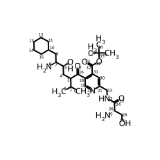 CC(C)C(C[C@H](O)[C@@H](N)CC1CCCCC1)C(=O)c1cnc(CNC(=O)[C@@H](N)CO)cc1C(=O)OC(C)(C)C